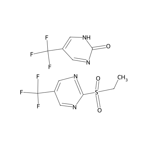 CCS(=O)(=O)c1ncc(C(F)(F)F)cn1.O=c1ncc(C(F)(F)F)c[nH]1